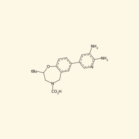 CC(C)(C)C1CN(C(=O)O)Cc2cc(-c3cnc(N)c(N)c3)ccc2O1